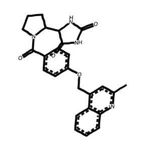 Cc1cc(COc2ccc(C(=O)N3CCCC3C3NC(=O)NC3=O)cc2)c2ccccc2n1